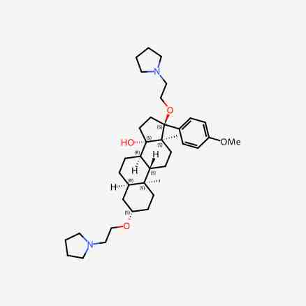 COc1ccc([C@@]2(OCCN3CCCC3)CC[C@]3(O)[C@@H]4CC[C@@H]5C[C@@H](OCCN6CCCC6)CC[C@]5(C)[C@H]4CC[C@]23C)cc1